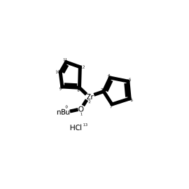 CCCC[O][Zr]([C]1=CC=CC1)[C]1=CC=CC1.Cl